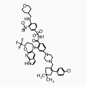 CC1(C)CCC(CN2CCN(c3ccc(C(=O)NS(=O)(=O)c4ccc(NCC5CCOCC5)c([N+](=O)[O-])c4)c(N4CC[C@H](C(F)(F)F)Oc5nc6[nH]ccc6cc54)c3)CC2)=C(c2ccc(Cl)cc2)C1